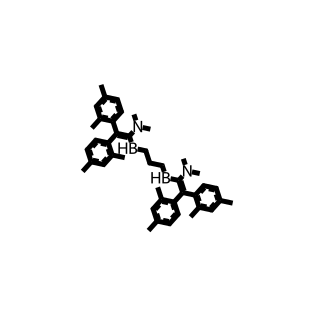 Cc1ccc(C(=C(BCCCBC(=C(c2ccc(C)cc2C)c2ccc(C)cc2C)N(C)C)N(C)C)c2ccc(C)cc2C)c(C)c1